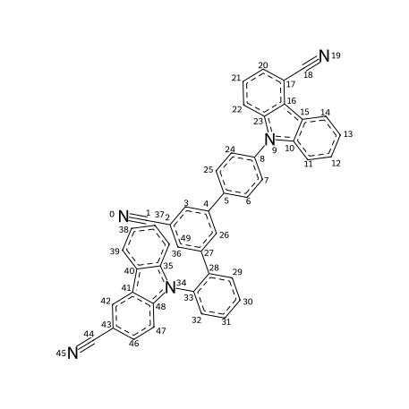 N#Cc1cc(-c2ccc(-n3c4ccccc4c4c(C#N)cccc43)cc2)cc(-c2ccccc2-n2c3ccccc3c3cc(C#N)ccc32)c1